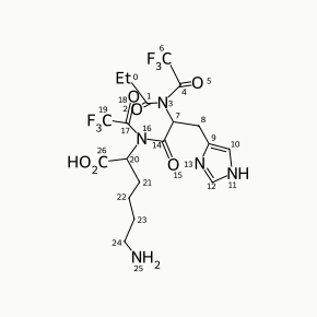 CCC(=O)N(C(=O)C(F)(F)F)C(Cc1c[nH]cn1)C(=O)N(C(=O)C(F)(F)F)C(CCCCN)C(=O)O